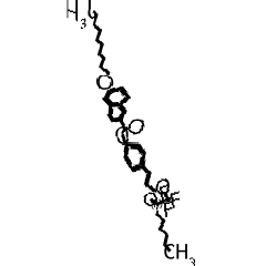 CCCCCCCCCCOc1ccc2cc(C(=O)Oc3ccc(C=CC(=O)O[C@H](CCCCCC)C(F)(F)F)cc3)ccc2c1